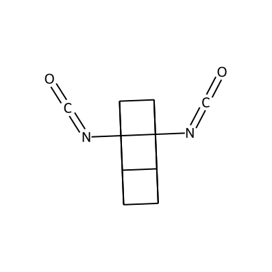 O=C=NC12C3C4C5C3C1(N=C=O)C5C42